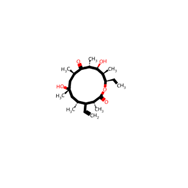 C=CC1[C@H](C)C[C@](C)(O)C[C@@H](C)C(=O)[C@H](C)[C@@H](O)[C@@H](C)[C@@H](CC)OC(=O)[C@@H]1C